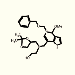 COC1c2cc[nH]c2C(CN(CCO)CC2COC(C)(C)O2)=CN1COCc1ccccc1